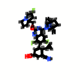 N#Cc1cc(O)cc(-c2c(F)cc3c(N4C[C@H]5CC[C@@H](C4)N5)nc(OC[C@@]45CCCN4C[C@H](F)C5)nc3c2F)c1C1CC1